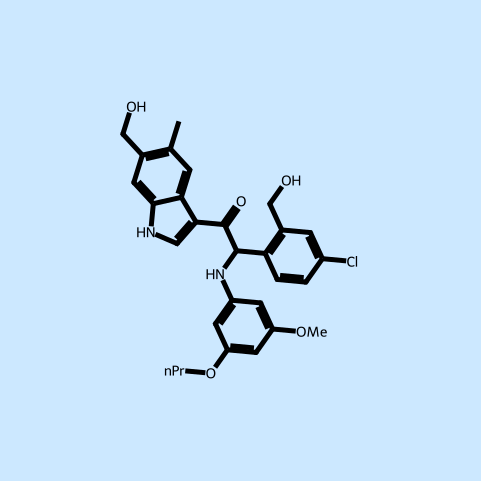 CCCOc1cc(NC(C(=O)c2c[nH]c3cc(CO)c(C)cc23)c2ccc(Cl)cc2CO)cc(OC)c1